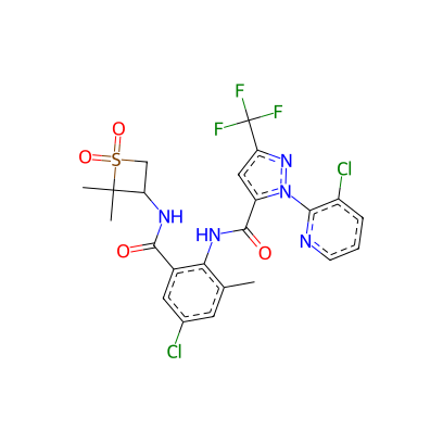 Cc1cc(Cl)cc(C(=O)NC2CS(=O)(=O)C2(C)C)c1NC(=O)c1cc(C(F)(F)F)nn1-c1ncccc1Cl